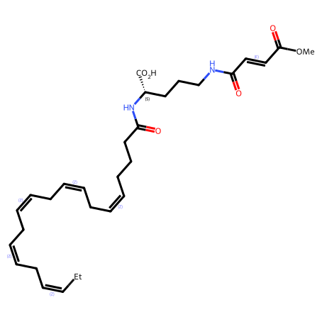 CC/C=C\C/C=C\C/C=C\C/C=C\C/C=C\CCCC(=O)N[C@@H](CCCNC(=O)/C=C/C(=O)OC)C(=O)O